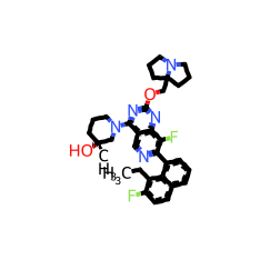 CCc1c(F)ccc2cccc(-c3ncc4c(N5CCC[C@@](C)(O)C5)nc(OCC56CCCN5CCC6)nc4c3F)c12